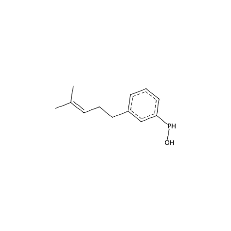 CC(C)=CCCc1cccc(PO)c1